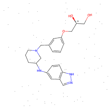 OC[C@H](O)COc1cccc(CN2CCCC(Nc3ccc4[nH]ncc4c3)C2)c1